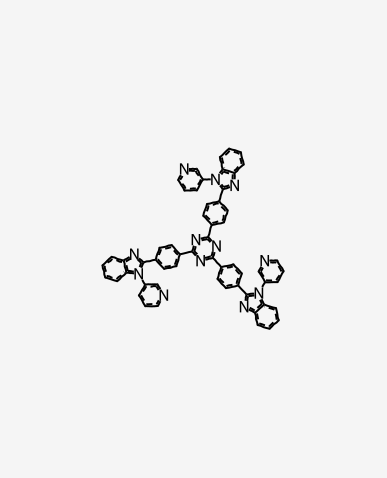 c1cncc(-n2c(-c3ccc(-c4nc(-c5ccc(-c6nc7ccccc7n6-c6cccnc6)cc5)nc(-c5ccc(-c6nc7ccccc7n6-c6cccnc6)cc5)n4)cc3)nc3ccccc32)c1